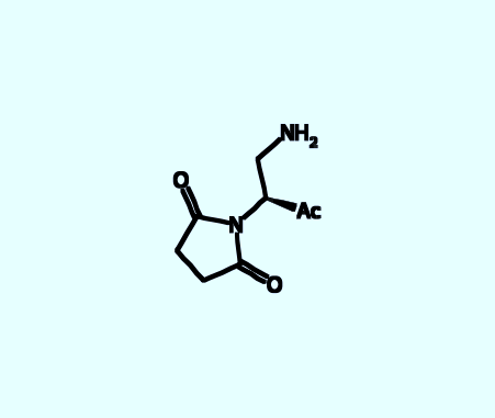 CC(=O)[C@H](CN)N1C(=O)CCC1=O